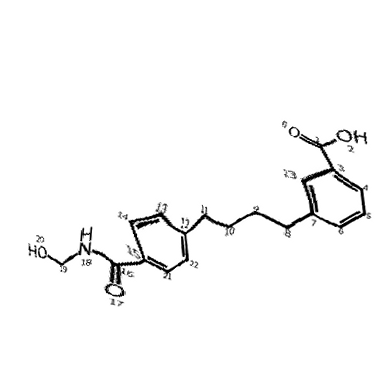 O=C(O)c1cccc(CCCCc2ccc(C(=O)NCO)cc2)c1